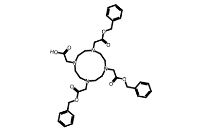 O=C(O)CN1CCN(CC(=O)OCc2ccccc2)CCN(CC(=O)OCc2ccccc2)CCN(CC(=O)OCc2ccccc2)CC1